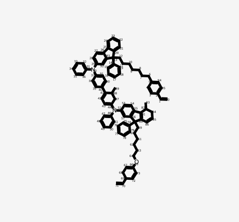 C=Cc1ccc(CCCCCCCC2(c3ccccc3)c3ccccc3-c3ccc(N(c4ccccc4)c4ccc(C5=CC=C(N(c6ccccc6)c6ccc7c(c6)C(CCCCCCOC6=CCC(C=C)C=C6)(c6ccccc6)C6=C7C(C)CC=C6)CC5C)cc4)cc32)cc1